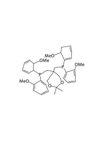 COc1ccccc1P(CC1(CP(c2ccccc2OC)C2C=CC=CC2OC)COC(C)(C)OC1)C1=CC=CCC1OC